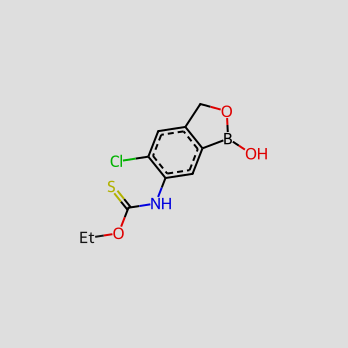 CCOC(=S)Nc1cc2c(cc1Cl)COB2O